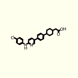 O=C(O)CC1CCC(c2ccc(-c3ccc(Nc4ccc(Cl)cc4)nc3)cc2)CC1